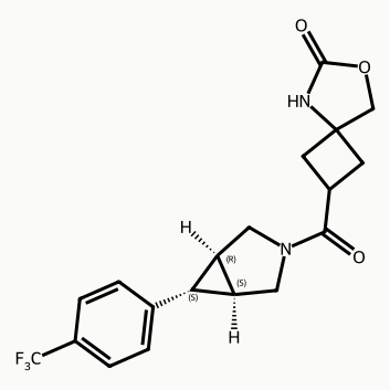 O=C1NC2(CO1)CC(C(=O)N1C[C@@H]3[C@H](C1)[C@H]3c1ccc(C(F)(F)F)cc1)C2